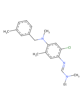 CCN(C)C=Nc1cc(C)c(N(C)Cc2cccc(C)c2)cc1Cl